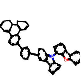 C1=CCC2C(=C1)c1ccc(-c3cccc(-c4ccc5c(c4)c4ccccc4n5-c4cccc5c4oc4ccccc45)c3)cc1C1=C2CCC=C1